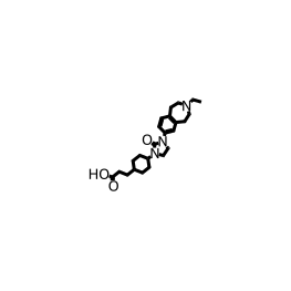 CCN1CCc2ccc(N3CCN(C4CCC(CCC(=O)O)CC4)C3=O)cc2CC1